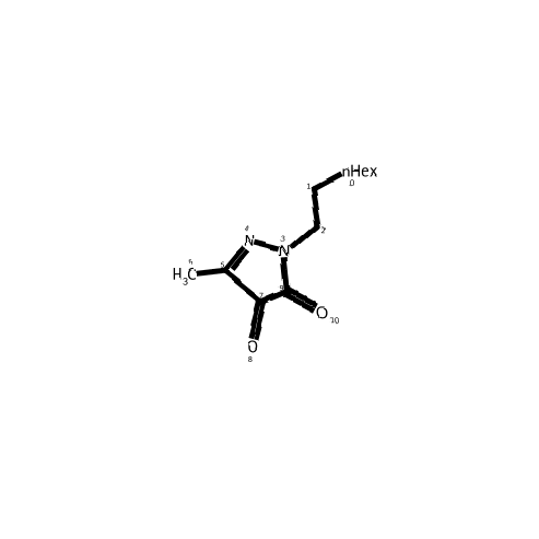 CCCCCCCCN1N=C(C)C(=O)C1=O